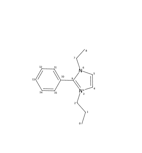 CCC[n+]1ccn(CC)c1-c1ccccc1